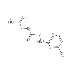 O=C(O)COC(=O)CNc1cccc(Cl)c1